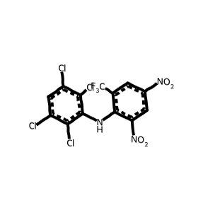 O=[N+]([O-])c1cc([N+](=O)[O-])c(Nc2c(Cl)c(Cl)cc(Cl)c2Cl)c(C(F)(F)F)c1